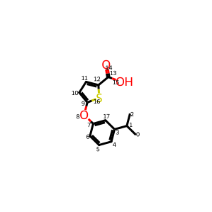 CC(C)c1cccc(Oc2ccc(C(=O)O)s2)c1